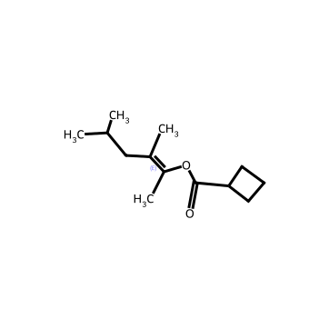 C/C(CC(C)C)=C(/C)OC(=O)C1CCC1